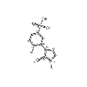 Cc1ccc(S(=O)(=O)O)cc1-n1ccn(C)c1=O